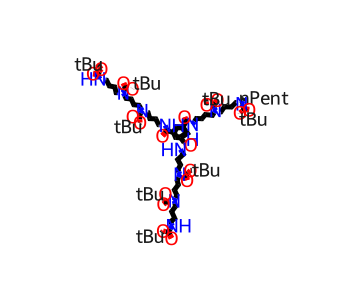 CCCCCN(CCCCN(CCCCNC(=O)c1cc(C(=O)NCCCCN(CCCCN(CCCCNC(=O)OC(C)(C)C)C(=O)OC(C)(C)C)C(=O)OC(C)(C)C)cc(C(=O)NCCCCN(CCCCN(CCCCNC(=O)OC(C)(C)C)C(=O)OC(C)(C)C)C(=O)OC(C)(C)C)c1)C(=O)OC(C)(C)C)C(=O)OC(C)(C)C